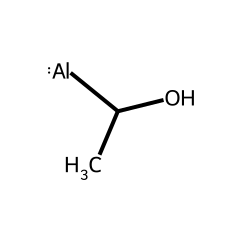 C[CH](O)[Al]